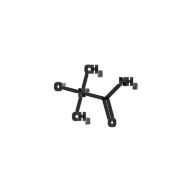 C[N+](C)([O-])C(N)=O